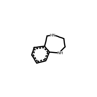 [c]1cccc2c1CNCCN2